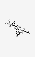 CCCN(CCC)C(=O)c1cc(C)cc(C(=O)N[C@@H](Cc2cc(F)cc(F)c2)[C@H](O)CCNC(=O)CCCC(C)C)c1